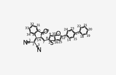 N#CC(C#N)=C1/C(=C/c2cc3oc(-c4ccc(-c5ccccc5)cc4)cc3s2)C(=O)c2ccccc21